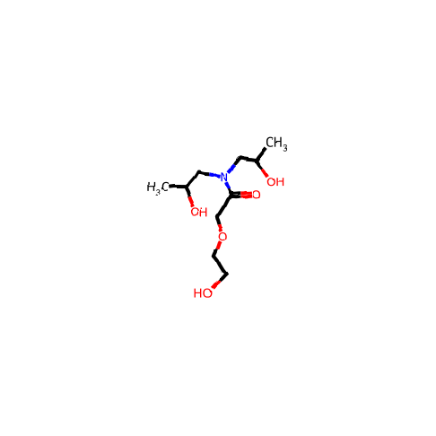 CC(O)CN(CC(C)O)C(=O)COCCO